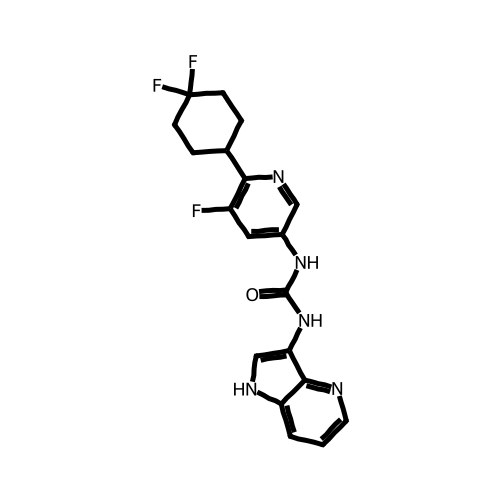 O=C(Nc1cnc(C2CCC(F)(F)CC2)c(F)c1)Nc1c[nH]c2cccnc12